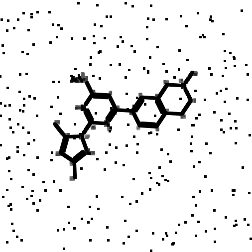 CC(=O)Nc1cc(-c2ccc3c(c2)CN(C)CC3)nc(-n2nc(C)cc2C)n1